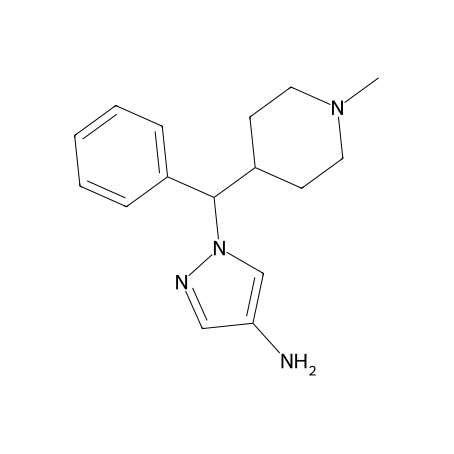 CN1CCC(C(c2ccccc2)n2cc(N)cn2)CC1